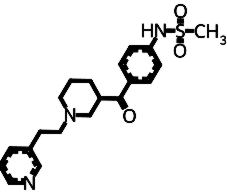 CS(=O)(=O)Nc1ccc(C(=O)C2CCCN(CCc3cccnc3)C2)cc1